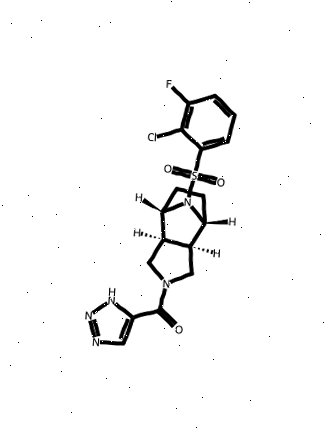 O=C(c1cnn[nH]1)N1C[C@@H]2[C@H](C1)[C@H]1CC[C@@H]2N1S(=O)(=O)c1cccc(F)c1Cl